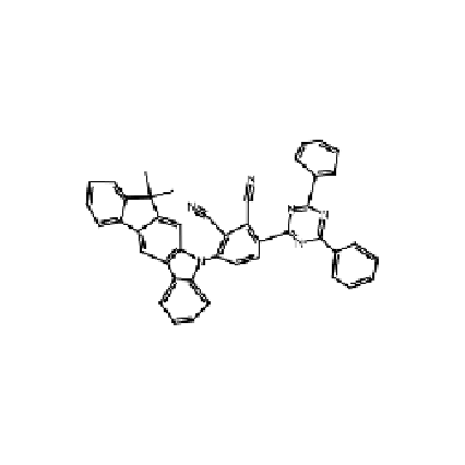 CC1(C)c2ccccc2-c2cc3c4ccccc4n(-c4ccc(-c5nc(-c6ccccc6)nc(-c6ccccc6)n5)c(C#N)c4C#N)c3cc21